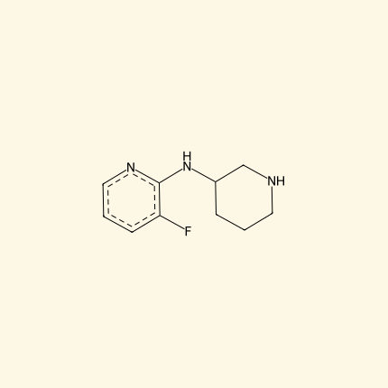 Fc1cccnc1NC1CCCNC1